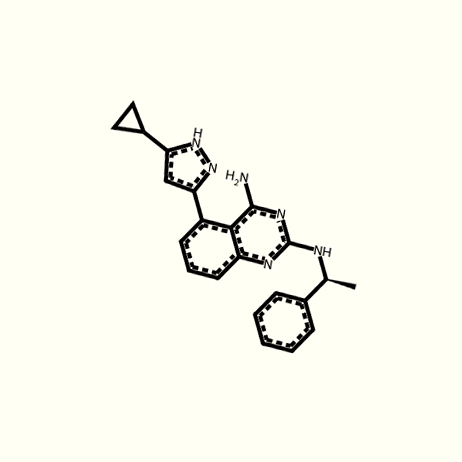 C[C@H](Nc1nc(N)c2c(-c3cc(C4CC4)[nH]n3)cccc2n1)c1ccccc1